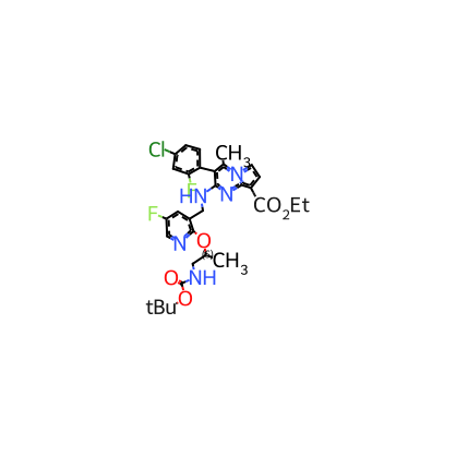 CCOC(=O)c1ccn2c(C)c(-c3ccc(Cl)cc3F)c(NCc3cc(F)cnc3O[C@@H](C)CNC(=O)OC(C)(C)C)nc12